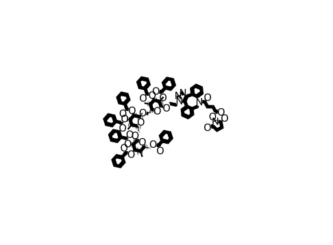 C[C@H]1[C@H](OC(=O)c2ccccc2)[C@@H](OC(=O)c2ccccc2)[C@H](OC[C@H]2O[C@@H](OC[C@H]3O[C@@H](OCCn4nnc5c4-c4ccccc4CN(C(=O)CCC(=O)ON4C(=O)CCC4=O)c4ccccc4-5)[C@H](OC(=O)c4ccccc4)[C@@H](OC(=O)c4ccccc4)[C@@H]3C)[C@H](OC(=O)c3ccccc3)[C@@H](OC(=O)c3ccccc3)[C@@H]2C)O[C@@H]1COC(=O)c1ccccc1